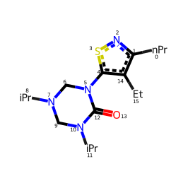 CCCc1nsc(N2CN(C(C)C)CN(C(C)C)C2=O)c1CC